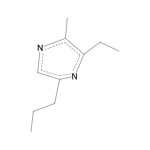 CCCc1cnc(C)c(CC)n1